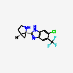 FC(F)(F)c1cc2nc([C@]34C[C@H]3CCN4)[nH]c2cc1Cl